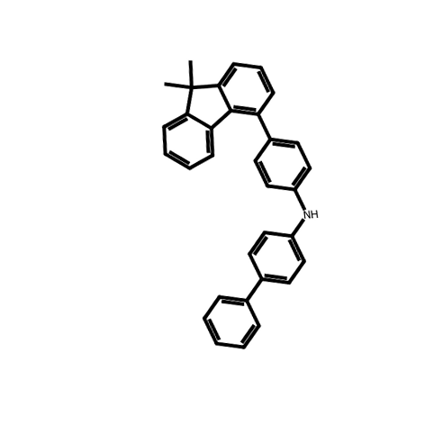 CC1(C)c2ccccc2-c2c(-c3ccc(Nc4ccc(-c5ccccc5)cc4)cc3)cccc21